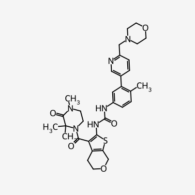 Cc1ccc(NC(=O)Nc2sc3c(c2C(=O)N2CCN(C)C(=O)C2(C)C)CCOC3)cc1-c1ccc(CN2CCOCC2)nc1